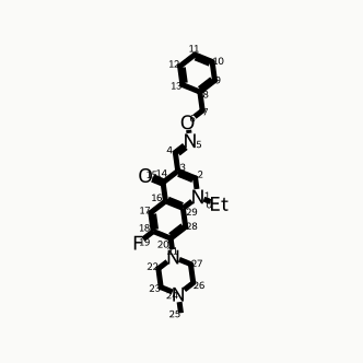 CCn1cc(/C=N/OCc2ccccc2)c(=O)c2cc(F)c(N3CCN(C)CC3)cc21